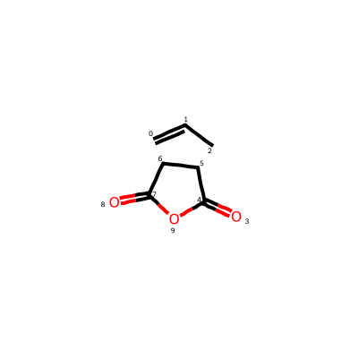 C=CC.O=C1CCC(=O)O1